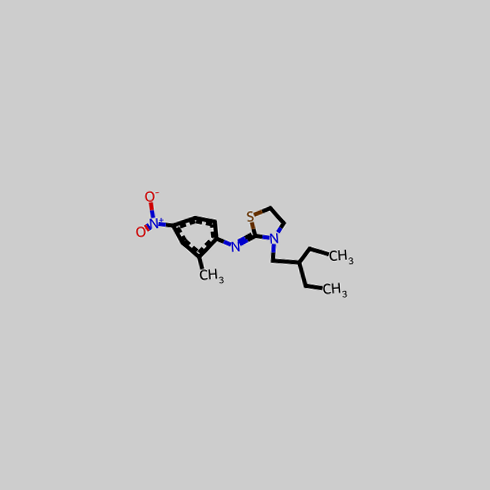 CCC(CC)CN1CCSC1=Nc1ccc([N+](=O)[O-])cc1C